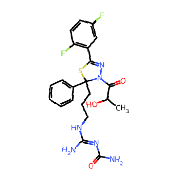 CC(O)C(=O)N1N=C(c2cc(F)ccc2F)SC1(CCCNC(N)=NC(N)=O)c1ccccc1